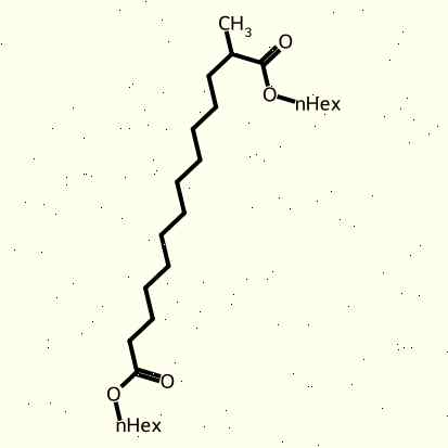 CCCCCCOC(=O)CCCCCCCCCCCC(C)C(=O)OCCCCCC